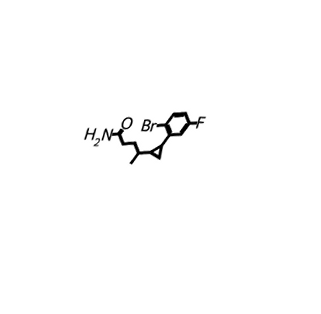 CC(CCC(N)=O)C1CC1c1cc(F)ccc1Br